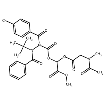 COC(=O)C(OC(=O)CN(C)C(C)=O)OC(=O)N(C(=O)c1ccc(Cl)cc1)N(C(=O)c1ccccc1)C(C)(C)C